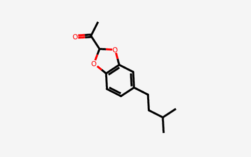 CC(=O)C1Oc2ccc(CCC(C)C)cc2O1